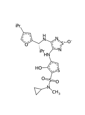 CC(C)c1coc([C@H](Nc2n[s+]([O-])nc2Nc2csc(S(=O)(=O)N(C)C3CC3)c2O)C(C)C)c1